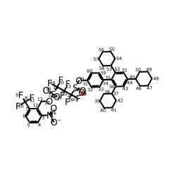 O=[N+]([O-])c1cccc(C(F)(F)F)c1COS(=O)(=O)C(F)(F)C(F)(F)C(F)(F)S(=O)(=O)Oc1ccc(-c2c(C3CCCCC3)cc(C3CCCCC3)cc2C2CCCCC2)cc1